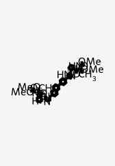 COC(=O)N[C@H](C(=O)N1CCC[C@H]1c1ncc(-c2ccc(-c3ccc4cc(-c5cnc([C@@H]6CCCN6C(=O)[C@@H](NC(=O)OC)[C@@H](C)OC)[nH]5)ccc4c3)cc2)[nH]1)[C@@H](C)OC